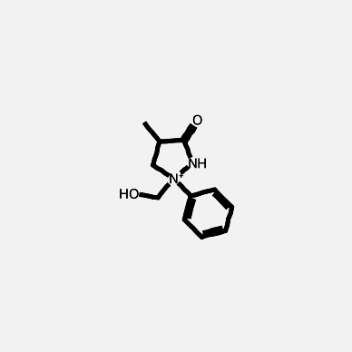 CC1C[N+](CO)(c2ccccc2)NC1=O